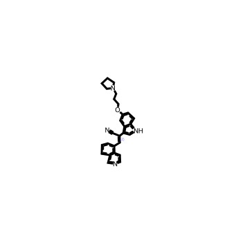 N#C/C(=C\c1cccc2cnccc12)c1c[nH]c2ccc(OCCCN3CCCC3)cc12